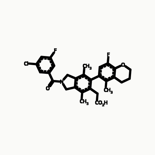 Cc1c(-c2c(C)c3c(c(C)c2CC(=O)O)CN(C(=O)c2cc(F)cc(Cl)c2)C3)cc(F)c2c1CCCO2